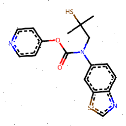 CC(C)(S)CN(C(=O)Oc1ccncc1)c1ccc2ncsc2c1